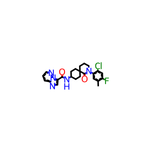 Cc1cc(N2CCCC3(CCC(NC(=O)c4cnc5cccnn45)CC3)C2=O)c(Cl)cc1F